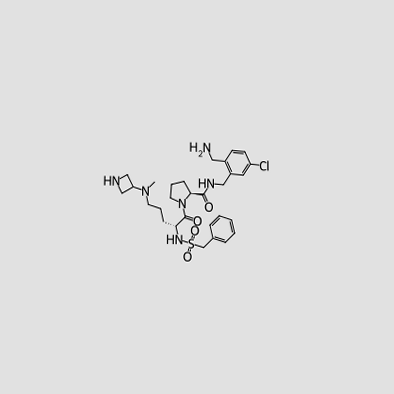 CN(CCC[C@@H](NS(=O)(=O)Cc1ccccc1)C(=O)N1CCC[C@H]1C(=O)NCc1cc(Cl)ccc1CN)C1CNC1